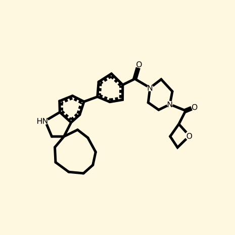 O=C(c1ccc(-c2ccc3c(c2)C2(CCCCCCCC2)CN3)cc1)N1CCN(C(=O)C2CCO2)CC1